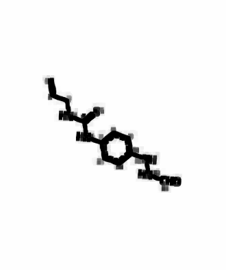 C=CCNC(=S)Nc1ccc(NNC=O)cc1